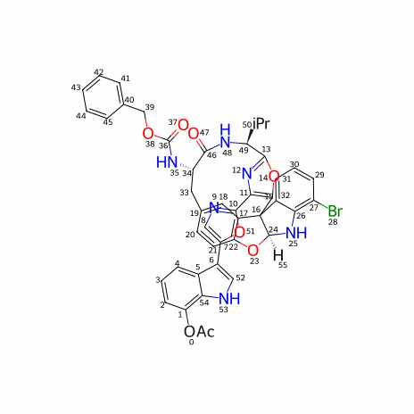 CC(=O)Oc1cccc2c(-c3cnc(-c4nc5oc4C46c7cc(ccc7O[C@@H]4Nc4c(Br)cccc46)C[C@H](NC(=O)OCc4ccccc4)C(=O)N[C@H]5C(C)C)o3)c[nH]c12